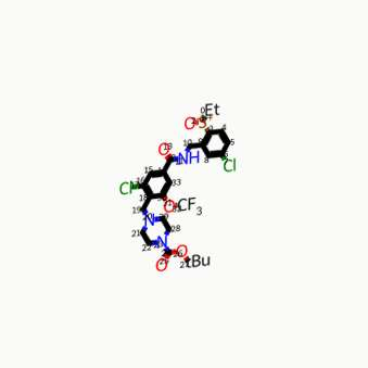 CC[S+]([O-])c1ccc(Cl)cc1CNC(=O)c1cc(Cl)c(CN2CCN(C(=O)OC(C)(C)C)CC2)c(OC(F)(F)F)c1